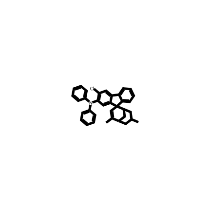 CC1=CC2(c3ccccc3-c3cc(Cl)c(N(c4ccccc4)c4ccccc4)cc32)C2CC(C)CC1C2